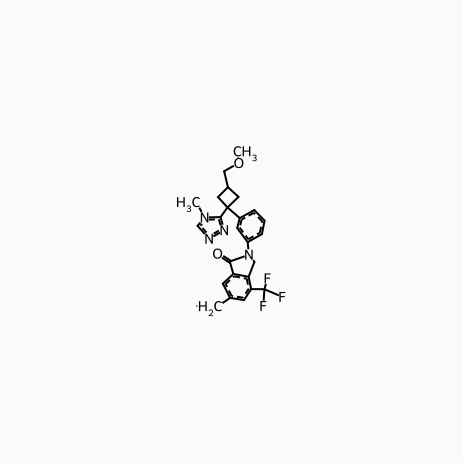 [CH2]c1cc2c(c(C(F)(F)F)c1)CN(c1cccc(C3(c4nncn4C)CC(COC)C3)c1)C2=O